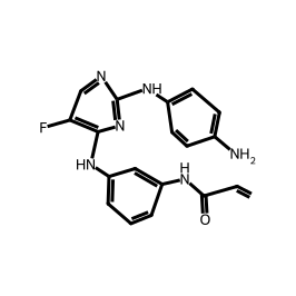 C=CC(=O)Nc1cccc(Nc2nc(Nc3ccc(N)cc3)ncc2F)c1